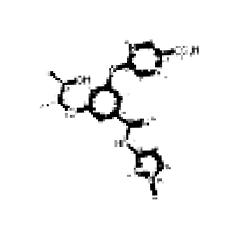 C[C@@H](O)[C@@H](C)Oc1cc(Oc2cnc(C(=O)O)cn2)cc(C(=O)Nc2ccn(C)n2)c1